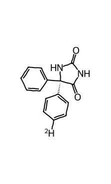 [2H]c1ccc([C@]2(c3ccccc3)NC(=O)NC2=O)cc1